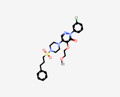 CCOCCOc1c(N2CCN(S(=O)(=O)CCCc3ccccc3)CC2)cnn(-c2cccc(Cl)c2)c1=O